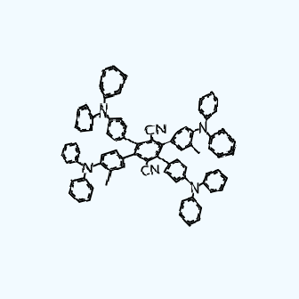 Cc1cc(-c2c(C#N)c(-c3ccc(N(c4ccccc4)c4ccccc4)cc3)c(-c3ccc(N(c4ccccc4)c4ccccc4)c(C)c3)c(C#N)c2-c2ccc(N(c3ccccc3)c3ccccc3)cc2)ccc1N(c1ccccc1)c1ccccc1